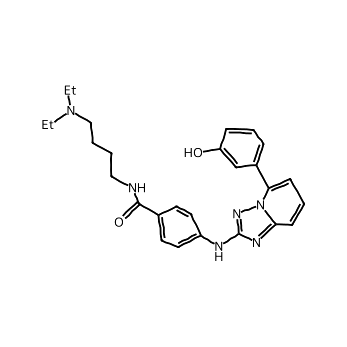 CCN(CC)CCCCNC(=O)c1ccc(Nc2nc3cccc(-c4cccc(O)c4)n3n2)cc1